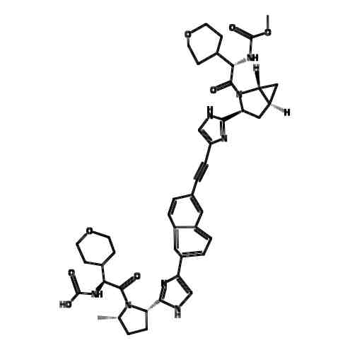 COC(=O)N[C@H](C(=O)N1[C@@H]2C[C@H]2C[C@H]1c1nc(C#Cc2ccc3cc(-c4c[nH]c([C@@H]5CC[C@H](C)N5C(=O)[C@@H](NC(=O)O)C5CCOCC5)n4)ccc3c2)c[nH]1)C1CCOCC1